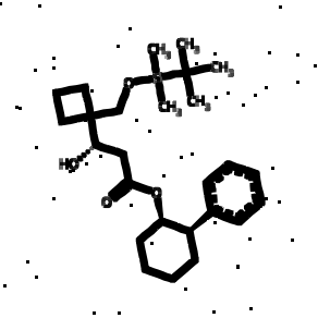 CC(C)(C)[Si](C)(C)OCC1([C@@H](O)CC(=O)O[C@@H]2CCCC[C@@H]2c2ccccc2)CCC1